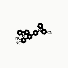 N#Cc1ccc2c(c1)c1ccccc1n2-c1ccc(-c2ccc(-c3ccc(C#N)c(C#N)c3-n3c4ccccc4c4ccccc43)cc2)cc1